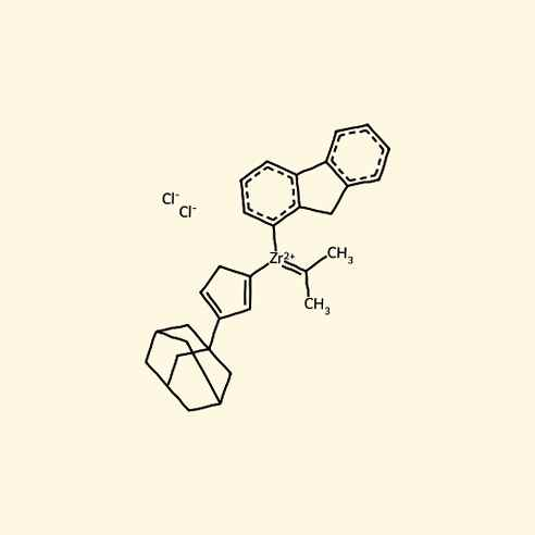 C[C](C)=[Zr+2]([C]1=CC(C23CC4CC(CC(C4)C2)C3)=CC1)[c]1cccc2c1Cc1ccccc1-2.[Cl-].[Cl-]